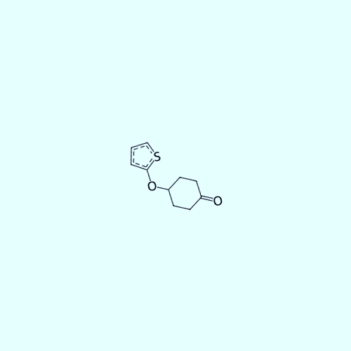 O=C1CCC(Oc2cccs2)CC1